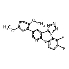 COc1ccc(OC)c(-c2cnc(N)c(-c3nnnn3-c3cccc(F)c3F)c2)c1